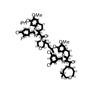 COc1cc2c(cc1OC(C)C)-n1c(-c3ccc(Cl)c(F)c3)nc(C(=O)N3CCOCC3(C)CCC(C)Oc3cc4c(cc3OC)CCc3c(C(=O)C5CCCOCC(C)(C)CC5)nc(-c5cc(Cl)cc(Cl)c5)n3-4)c1CC2